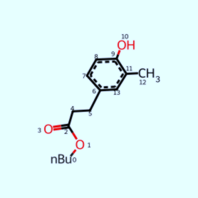 CCCCOC(=O)CCc1ccc(O)c(C)c1